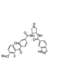 COc1ccc(O)c(C(=O)c2ccc(C(=O)NC3CNC[C@H]3NC(=O)c3ccc4cn[nH]c4c3)cc2)c1F